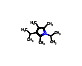 Cc1c(C(C)C)c(C)n(C(C)C)c1C